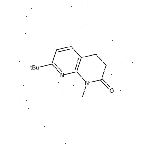 CN1C(=O)CCc2ccc(C(C)(C)C)nc21